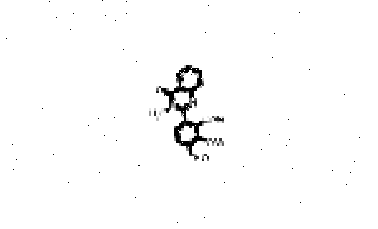 COc1c(C=O)ccc(-c2nc3ccccc3c(=O)n2C)c1OC